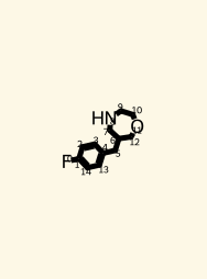 Fc1ccc(CC2CNCCOC2)cc1